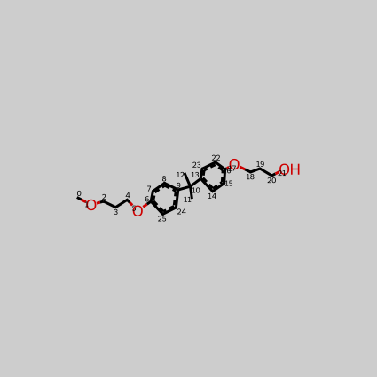 COCCCOc1ccc(C(C)(C)c2ccc(OCCCO)cc2)cc1